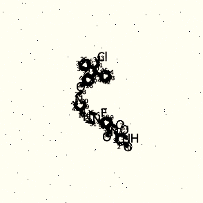 O=C1CCC(N2C(=O)c3cc(F)c(N4CCN(CC5CCN(CCOc6ccc(C(=C(CCCl)c7ccccc7)c7ccccc7)cc6)CC5)CC4)cc3C2=O)C(=O)N1